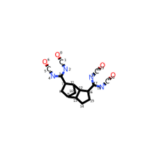 O=C=NC(N=C=O)C1CC2CC1C1C2CCC1C(N=C=O)N=C=O